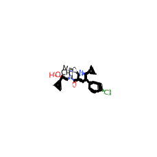 COc1nc(C2CC2)c(-c2ccc(Cl)cc2)cc1C(=O)NC[C@](C)(O)C1CC1